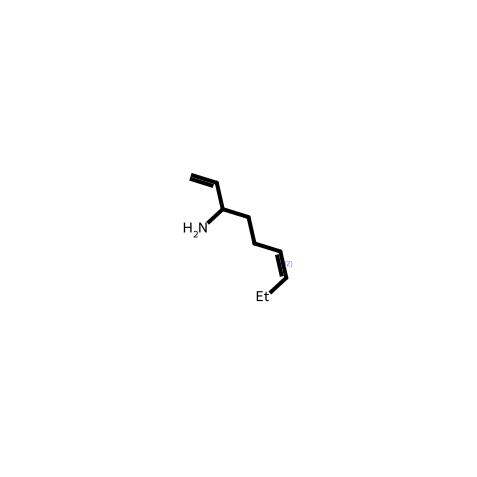 C=CC(N)CC/C=C\CC